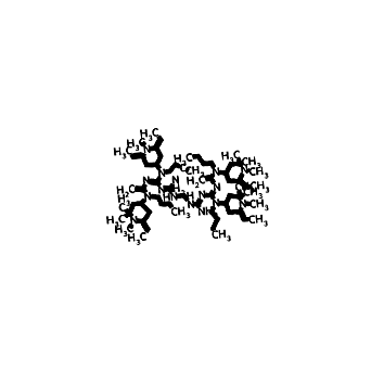 C=C(/N=C(\N=C(/N)NCN/C(N)=N/C(=N\C(=C)N(CCCC)C1C/C(=C/C)N(C)C(C)(C)C1)N(CCCC)C1C/C(=C/C)N(C)C(C)(C)C1)N(CCCC)C1C/C(=C/C)N(C)/C(=C\C)C1)N(CCCC)C1C/C(=C/C)N(C)C(C)(C)C1